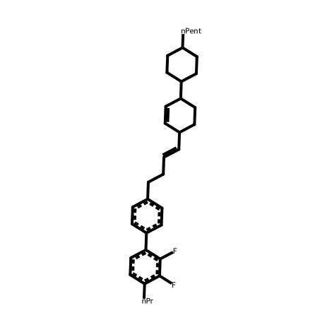 CCCCCC1CCC(C2C=CC(/C=C/CCc3ccc(-c4ccc(CCC)c(F)c4F)cc3)CC2)CC1